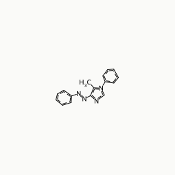 Cc1c(N=Nc2ccccc2)ncn1-c1ccccc1